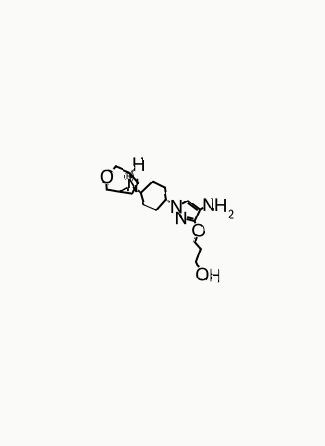 Nc1cn([C@H]2CC[C@H](N3C4CC[C@@H]3COC4)CC2)nc1OCCCO